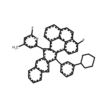 Cc1cc(F)nc(-c2c3cc4ccccc4cc3c(-c3cccc(C4CCCCC4)c3)c3c4ccc(F)c5ccc6cccc(c23)c6c54)c1